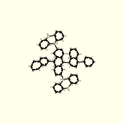 c1ccc(-c2ccc(-c3c4ccc(N5c6ccccc6Oc6ccccc65)cc4c(-c4ccc5ccccc5c4)c4ccc(N5c6ccccc6Oc6ccccc65)cc34)c3ccccc23)cc1